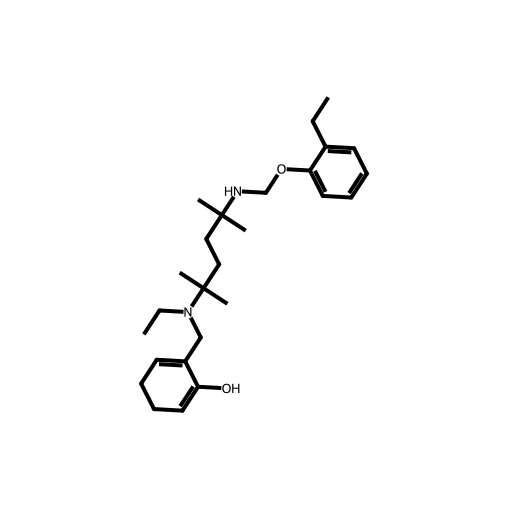 CCc1ccccc1OCNC(C)(C)CCC(C)(C)N(CC)CC1=CCCC=C1O